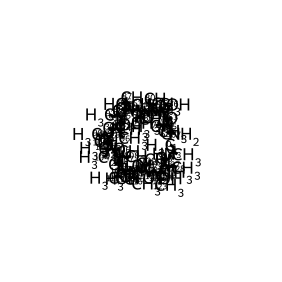 CCC(C)NCC(=O)N(CC(=O)N(CC(=O)N(CC(=O)N(CC(=O)N(CC(=O)N(CC(=O)N(CC(=O)N(CC(=O)N(CC(=O)N(CC(=O)N(CC(=O)N(CC(=O)N(CC(=O)N(CC(=O)N(CC(N)=O)C(C)CC)CC(C)O)C(C)CC)C(C)CC)CC(C)O)C(C)CC)C(C)CC)CC(C)O)C(C)CC)C(C)CC)CC(C)O)C(C)CC)C(C)CC)CC(C)O)C(C)CC